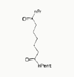 CCCCCC(=O)CCCCCC(=O)CCC